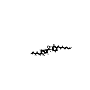 CCCCCCCc1ccc(OC(=O)c2cc3sc(CCCCC)cc3s2)cc1